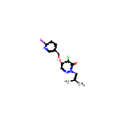 CC(C)=Cn1ncc(OCc2ccc(I)nc2)c(Cl)c1=O